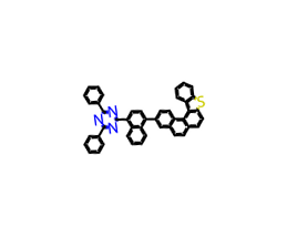 c1ccc(-c2nc(-c3ccccc3)nc(-c3ccc(-c4ccc5c(ccc6ccc7sc8ccccc8c7c65)c4)c4ccccc34)n2)cc1